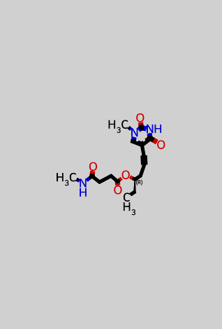 CC[C@H](CC#Cc1cn(C)c(=O)[nH]c1=O)OC(=O)CCC(=O)NC